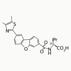 Cc1nc(-c2ccc3oc4cc(S(=O)(=O)N[C@H](C(=O)O)C(C)C)ccc4c3c2)sc1C